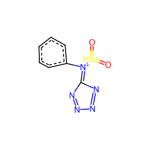 O=[SH](=O)[N+](=C1N=NN=N1)c1ccccc1